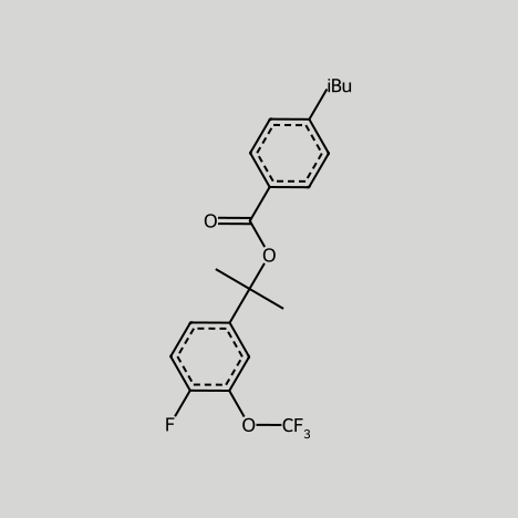 CCC(C)c1ccc(C(=O)OC(C)(C)c2ccc(F)c(OC(F)(F)F)c2)cc1